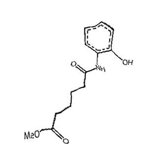 COC(=O)CCCCC(=O)Nc1ccccc1O